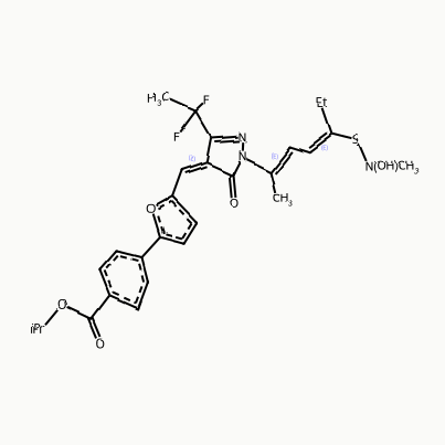 CC/C(=C\C=C(/C)N1N=C(C(C)(F)F)/C(=C/c2ccc(-c3ccc(C(=O)OC(C)C)cc3)o2)C1=O)SN(C)O